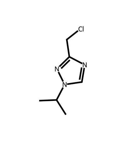 CC(C)n1cnc(CCl)n1